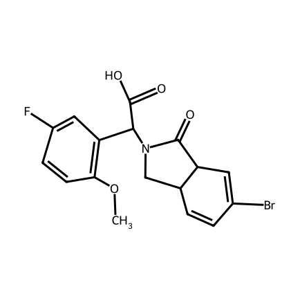 COc1ccc(F)cc1C(C(=O)O)N1CC2C=CC(Br)=CC2C1=O